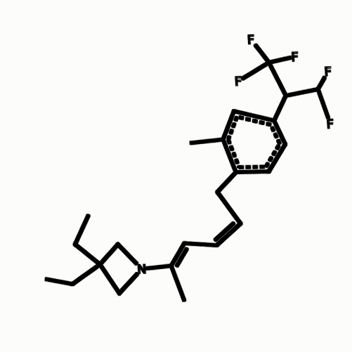 CCC1(CC)CN(/C(C)=C/C=C\Cc2ccc(C(C(F)F)C(F)(F)F)cc2C)C1